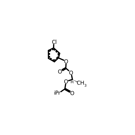 CC(C)C(=O)O[C@@H](C)OC(=O)Oc1cccc(Cl)c1